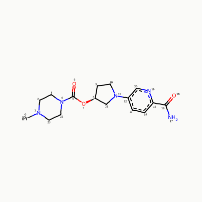 CC(C)N1CCN(C(=O)O[C@H]2CCN(c3ccc(C(N)=O)nc3)C2)CC1